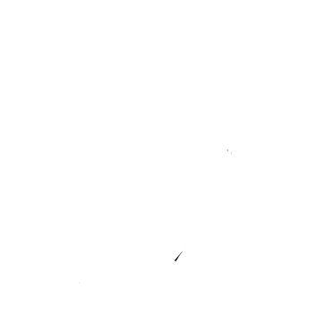 CC1OC(=O)c2cc3oc4ccc(C(O)C5CC5)cc4c3cc2N1C(=O)[C@H]1CC[C@H](C)CC1